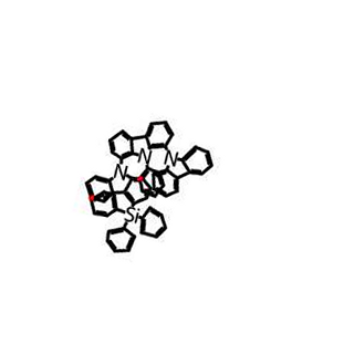 c1ccc(-n2c3c(-n4c5ccccc5c5ccccc54)cccc3c3cccc(-n4c5ccccc5c5c([Si](c6ccccc6)(c6ccccc6)c6ccccc6)cccc54)c32)cc1